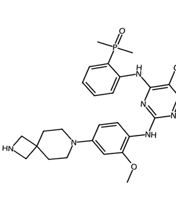 COc1cc(N2CCC3(CC2)CNC3)ccc1Nc1ncc(Cl)c(Nc2ccccc2P(C)(C)=O)n1